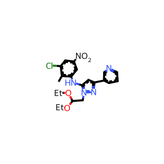 CCOC(Cn1nc(-c2cccnc2)cc1Nc1cc([N+](=O)[O-])cc(Cl)c1C)OCC